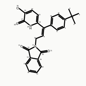 CC(C)(C)c1ccc(C(=CCN2C(=O)c3ccccc3C2=O)c2ccc(Cl)c(=O)[nH]2)cc1